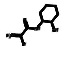 C=C(Br)C(=O)NC1CCCCC1O